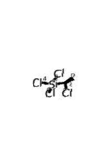 C=C(Cl)[Si](Cl)(Cl)Cl